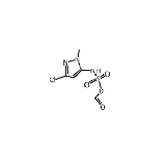 Cn1nc(Cl)cc1NS(=O)(=O)OC=O